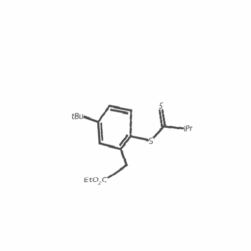 CCOC(=O)Cc1cc(C(C)(C)C)ccc1SC(=S)C(C)C